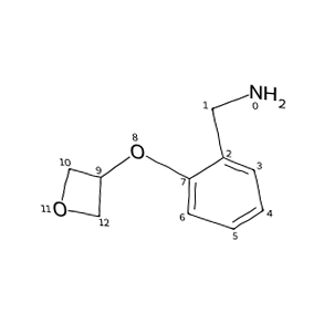 NCc1ccccc1OC1COC1